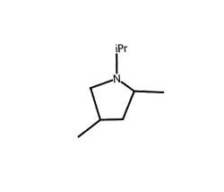 CC1CC(C)N(C(C)C)C1